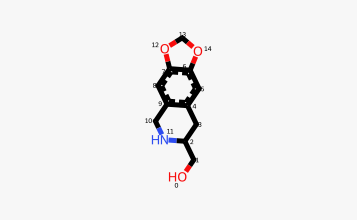 OCC1Cc2cc3c(cc2CN1)OCO3